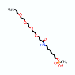 CSCCOCCOCCOCCOCCC(=O)NCCCCCCOP(C)(=O)O